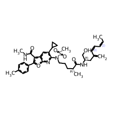 C=C(/C=C\C=C/C)C[C@H](CO)NC(=O)[C@H](C)CCCN(c1nc2oc(-c3ccc(C)cc3)c(C(=O)NC)c2cc1C1CC1)S(C)(=O)=O